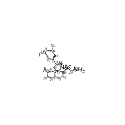 CC(=O)N1N=C(c2cc(F)cc(F)c2)S[C@@]12c1cc(F)ccc1CC[C@@H]2CCN